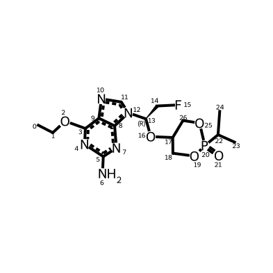 CCOc1nc(N)nc2c1ncn2[C@@H](CF)OC1COP(=O)(C(C)C)OC1